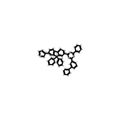 c1ccc(-c2cccc(-c3nc(-c4ccccc4)nc(-c4ccc5c(c4)C(c4ccccc4)(c4ccccc4)c4cc(-c6cccnc6)ccc4-5)n3)c2)cc1